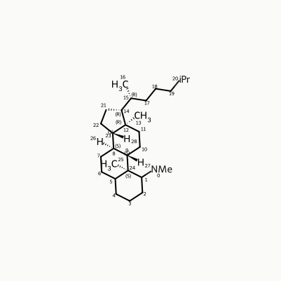 CNC1CCCC2CC[C@@H]3[C@H](CC[C@]4(C)[C@@H]([C@H](C)CCCC(C)C)CC[C@@H]34)[C@]21C